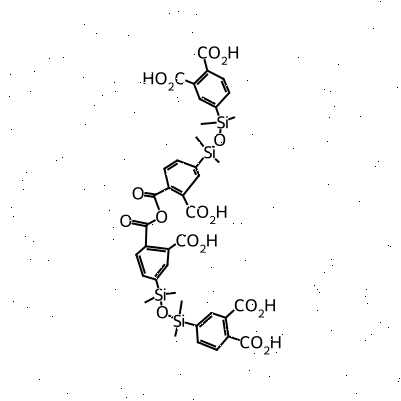 C[Si](C)(O[Si](C)(C)c1ccc(C(=O)OC(=O)c2ccc([Si](C)(C)O[Si](C)(C)c3ccc(C(=O)O)c(C(=O)O)c3)cc2C(=O)O)c(C(=O)O)c1)c1ccc(C(=O)O)c(C(=O)O)c1